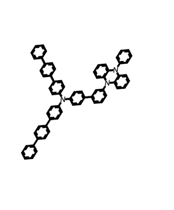 c1ccc(-c2ccc(-c3ccc(N(c4ccc(-c5ccc(-c6ccccc6)cc5)cc4)c4ccc(-c5cccc(N6c7ccccc7N(c7ccccc7)c7ccccc76)c5)cc4)cc3)cc2)cc1